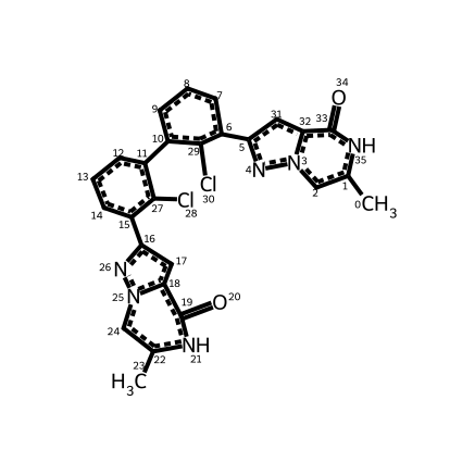 Cc1cn2nc(-c3cccc(-c4cccc(-c5cc6c(=O)[nH]c(C)cn6n5)c4Cl)c3Cl)cc2c(=O)[nH]1